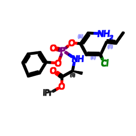 C/C=C/C(Cl)=C\C(=C/N)OP(=O)(N[C@@H](C)C(=O)OC(C)C)Oc1ccccc1